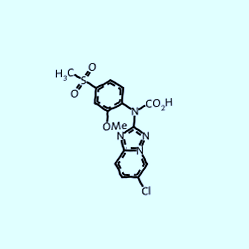 COc1cc(S(C)(=O)=O)ccc1N(C(=O)O)c1nc2ccc(Cl)cn2n1